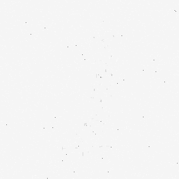 COC(=O)C(C(C)C)N1Cc2ccc(-c3ccc(NC(=O)c4ccc(C5CCCCC5)cc4)cc3)cc2C1=O